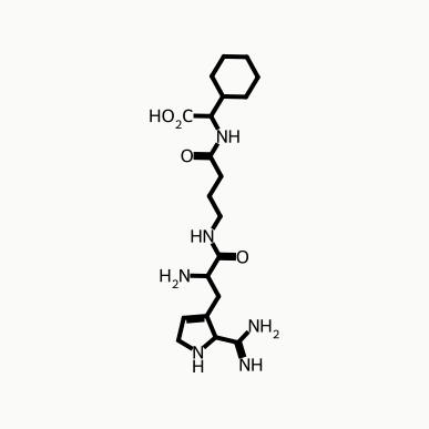 N=C(N)C1NCC=C1CC(N)C(=O)NCCCC(=O)NC(C(=O)O)C1CCCCC1